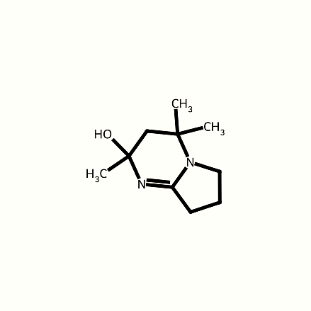 CC1(O)CC(C)(C)N2CCCC2=N1